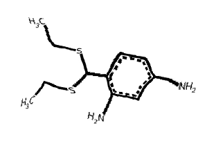 CCSC(SCC)c1ccc(N)cc1N